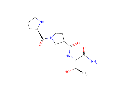 C[C@@H](O)[C@H](NC(=O)C1CCN(C(=O)[C@H]2CCCN2)C1)C(N)=O